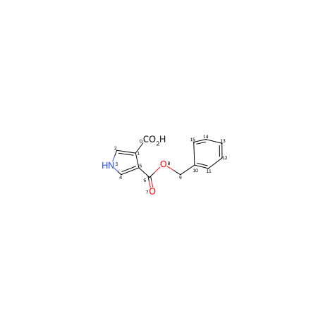 O=C(O)c1c[nH]cc1C(=O)OCc1ccccc1